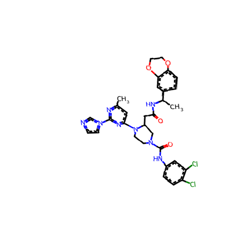 Cc1cc(N2CCN(C(=O)Nc3ccc(Cl)c(Cl)c3)CC2CC(=O)NC(C)c2ccc3c(c2)OCCO3)nc(-n2ccnc2)n1